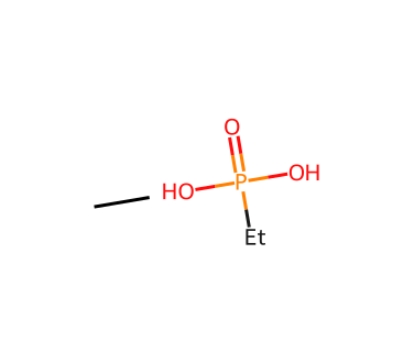 CC.CCP(=O)(O)O